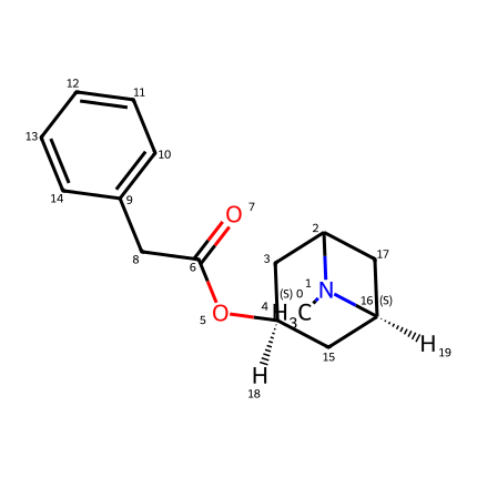 CN1C2C[C@H](OC(=O)Cc3ccccc3)C[C@@H]1C2